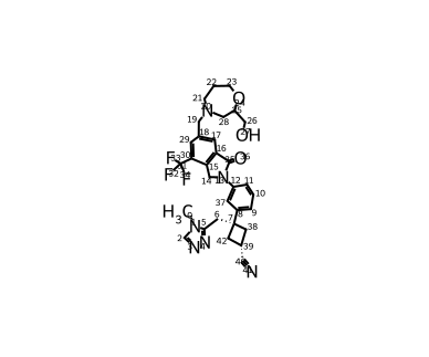 Cn1cnnc1C[C@]1(c2cccc(N3Cc4c(cc(CN5CCCOC(CO)C5)cc4C(F)(F)F)C3=O)c2)C[C@H](C#N)C1